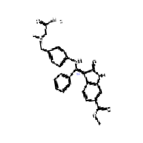 COC(=O)c1ccc2c(c1)NC(=O)/C2=C(\Nc1ccc(CN(C)CC(N)=O)cc1)c1ccccc1